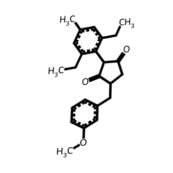 CCc1cc(C)cc(CC)c1C1C(=O)CC(Cc2cccc(OC)c2)C1=O